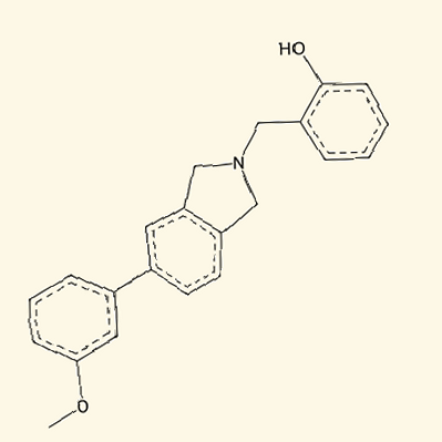 COc1cccc(-c2ccc3c(c2)CN(Cc2ccccc2O)C3)c1